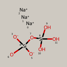 [Na+].[Na+].[Na+].[O-][Si]([O-])([O-])O[Si](O)(O)O